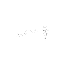 CCC(C)C(N)C(=O)NC(=O)c1cc2cc(N3CCN(CCCCc4cn(C(=O)C(N)C(C)CC)c5ccc(C#N)cc45)CC3)ccc2o1